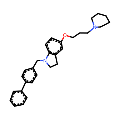 c1ccc(-c2ccc(CN3CCc4cc(OCCCN5CCCCC5)ccc43)cc2)cc1